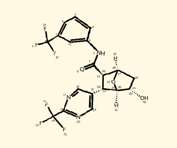 O=C(Nc1cccc(C(F)(F)F)c1)[C@@H]1[C@@H](c2cnc(C(F)(F)F)nc2)[C@H]2O[C@@H]1C[C@@H]2O